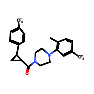 Cc1ccc(C(F)(F)F)cc1N1CCN(C(=O)C2CC2c2ccc(C(F)(F)F)cc2)CC1